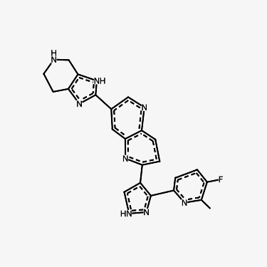 Cc1nc(-c2n[nH]cc2-c2ccc3ncc(-c4nc5c([nH]4)CNCC5)cc3n2)ccc1F